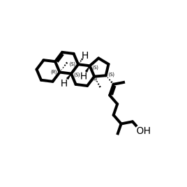 CC(=CCCC(C)CO)[C@H]1CC[C@H]2[C@@H]3CC=C4CCCC[C@]4(C)[C@H]3CC[C@]12C